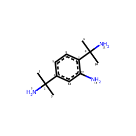 CC(C)(N)c1ccc(C(C)(C)N)c(N)c1